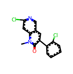 Cn1c(=O)c(-c2ccccc2Cl)cc2cnc(Cl)cc21